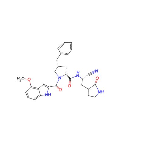 COc1cccc2[nH]c(C(=O)N3C[C@H](Cc4ccccc4)C[C@H]3C(=O)N[C@H](C#N)CC3CCNC3=O)cc12